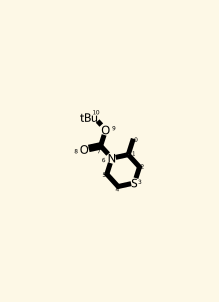 CC1CSCCN1C(=O)OC(C)(C)C